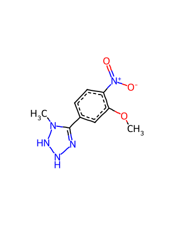 COc1cc(C2=NNNN2C)ccc1[N+](=O)[O-]